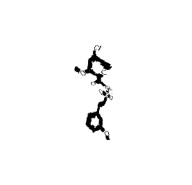 COc1cccc(/C=C/S(=O)(=O)NC(=O)c2ccc(Cl)cc2OC)c1